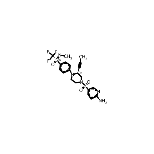 CC#C[C@H]1CN(S(=O)(=O)c2ccc(N)nc2)CCN1c1ccc([S@@](=O)(=NC)C(F)(F)F)cc1